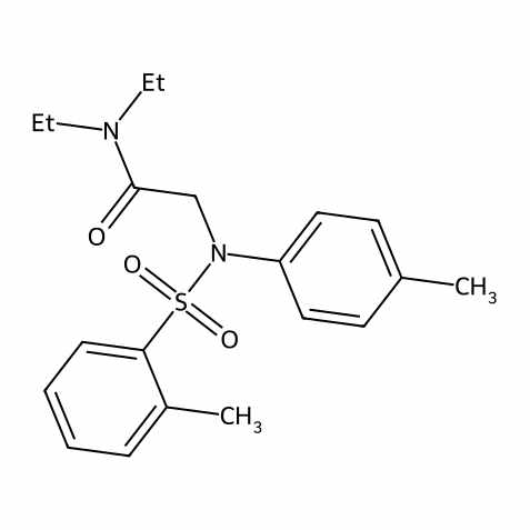 CCN(CC)C(=O)CN(c1ccc(C)cc1)S(=O)(=O)c1ccccc1C